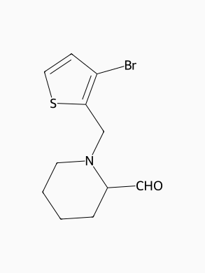 O=CC1CCCCN1Cc1sccc1Br